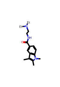 CCN(CC)CCNC(=O)c1ccc2c(c1)c(C)c(C)n2C